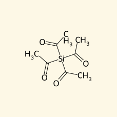 CC(=O)[Si](C(C)=O)(C(C)=O)C(C)=O